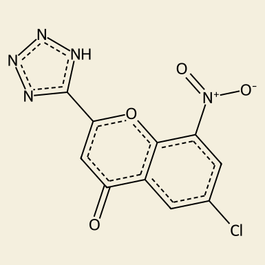 O=c1cc(-c2nnn[nH]2)oc2c([N+](=O)[O-])cc(Cl)cc12